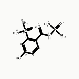 NP(N)(=O)NC(=O)c1ccc(O)cc1P(N)(N)=O